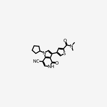 CN(C)C(=O)c1cc(-c2cn(C3CCCC3)c3c(C#N)c[nH]c(=O)c23)cs1